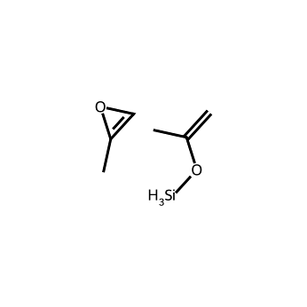 C=C(C)O[SiH3].CC1=CO1